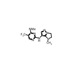 CNc1nc(Nc2cnn3c2N(C)CC3)ncc1C(F)(F)F